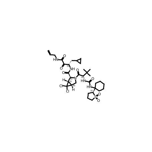 C=CCNC(=O)C(=O)[C@H](CC1CC1)NC(=O)[C@@H]1[C@@H]2[C@H](CN1C(=O)[C@@H](NC(=O)NC1([C@@H]3CCCS3(=O)=O)CCCCC1)C(C)(C)C)C2(Cl)Cl